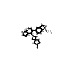 Cn1ncc2cc(-c3cnc4[nH]ccc4c3N3CC4(CCNC4)C3)ccc21